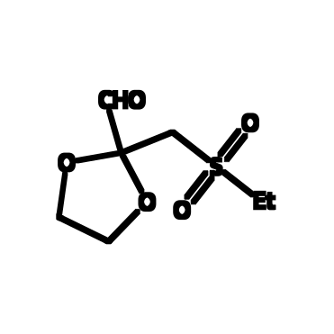 CCS(=O)(=O)CC1(C=O)OCCO1